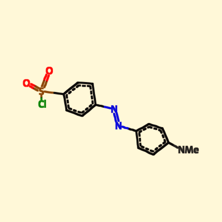 CNc1ccc(/N=N/c2ccc(S(=O)(=O)Cl)cc2)cc1